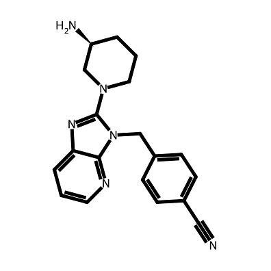 N#Cc1ccc(Cn2c(N3CCC[C@H](N)C3)nc3cccnc32)cc1